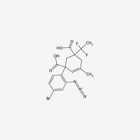 CC1=CC(C(=O)O)(c2ccc(Br)cc2N=[N+]=[N-])CC(C(=O)O)(C(C)(F)F)C1